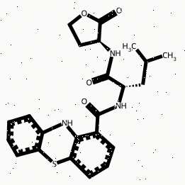 CC(C)C[C@H](NC(=O)c1cccc2c1Nc1ccccc1S2)C(=O)N[C@H]1CCOC1=O